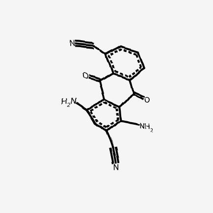 N#Cc1cc(N)c2c(c1N)C(=O)c1cccc(C#N)c1C2=O